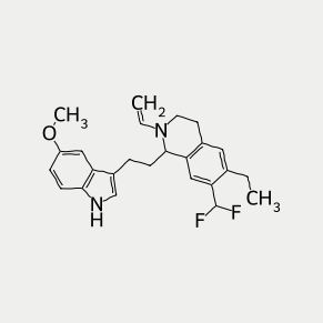 C=CN1CCc2cc(CC)c(C(F)F)cc2C1CCc1c[nH]c2ccc(OC)cc12